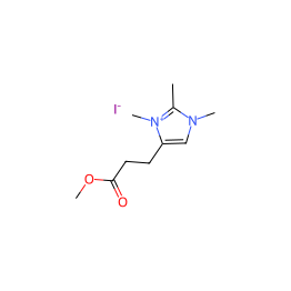 COC(=O)CCc1cn(C)c(C)[n+]1C.[I-]